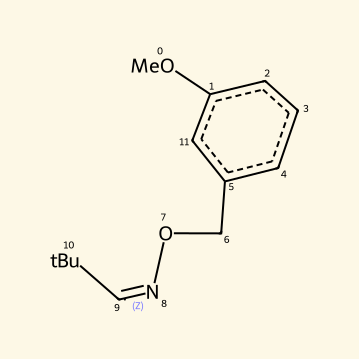 COc1cccc(CO/N=[C]\C(C)(C)C)c1